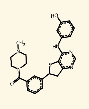 CN1CCN(C(=O)c2cccc(C3Cc4ncnc(Nc5cccc(O)c5)c4S3)c2)CC1